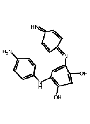 N=C1C=CC(=Nc2cc(Nc3ccc(N)cc3)c(O)cc2O)C=C1